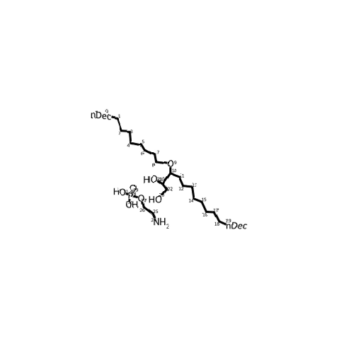 CCCCCCCCCCCCCCCCCCOC(CCCCCCCCCCCCCCCCCC)C(O)CO.NCCOP(=O)(O)O